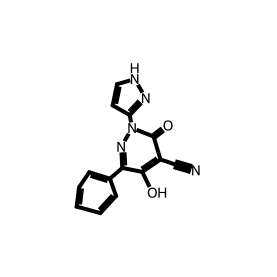 N#Cc1c(O)c(-c2ccccc2)nn(-c2cc[nH]n2)c1=O